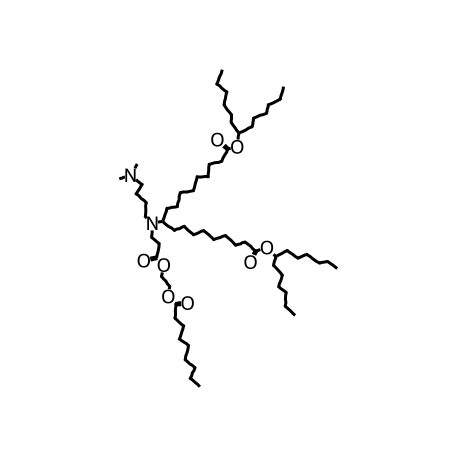 CCCCCCCCC(=O)OCCOC(=O)CCN(CCCCN(C)C)C(CCCCCCCCC(=O)OC(CCCCCC)CCCCCC)CCCCCCCCC(=O)OC(CCCCCC)CCCCCC